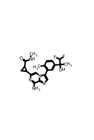 CNC(=O)C1CC1c1cn2c(-c3cc(C(C)(O)C(F)F)ccc3C)cnc2c(N)n1